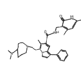 Cc1cc(C)c(CNC(=O)c2cc3c(-c4ccccc4)ccn3c(CCN3CCC(N(C)C)CC3)c2C)c(=O)[nH]1